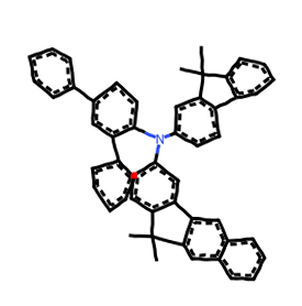 CC1(C)c2ccccc2-c2ccc(N(c3ccc4c(c3)-c3cc5ccccc5cc3C4(C)C)c3ccc(-c4ccccc4)cc3-c3ccccc3)cc21